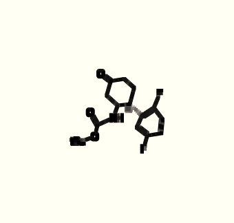 CC(C)(C)OC(=O)NC1CC(=O)CC[C@@H]1c1cc(F)ccc1F